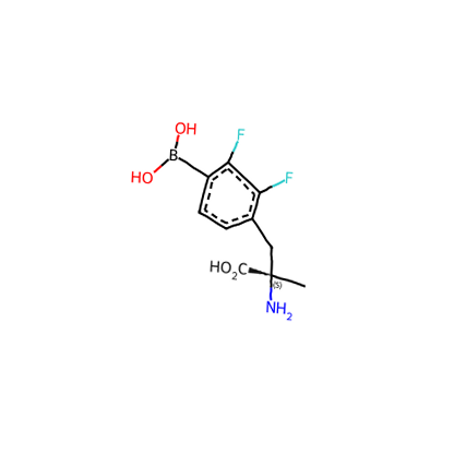 C[C@](N)(Cc1ccc(B(O)O)c(F)c1F)C(=O)O